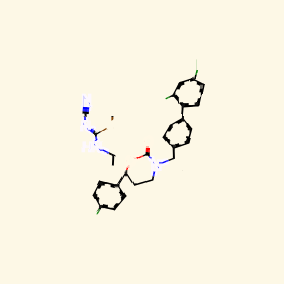 CSC(=NC#N)NCC[C@@]1(c2ccc(F)cc2)CCN([C@@H](C)c2ccc(-c3ccc(F)cc3F)cc2)C(=O)O1